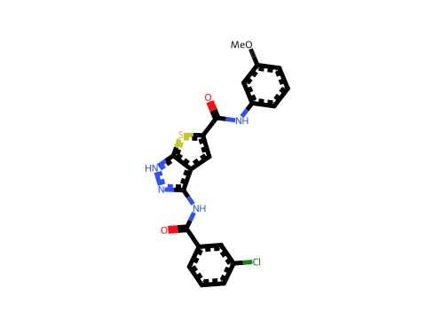 COc1cccc(NC(=O)c2cc3c(NC(=O)c4cccc(Cl)c4)n[nH]c3s2)c1